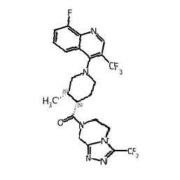 C[C@@H]1CN(c2c(C(F)(F)F)cnc3c(F)cccc23)CC[C@@H]1C(=O)N1CCn2c(nnc2C(F)(F)F)C1